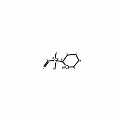 C=C[Si](C)(C)[C]1CCCCO1